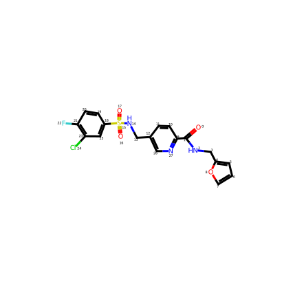 O=C(NCc1ccco1)c1ccc(CNS(=O)(=O)c2ccc(F)c(Cl)c2)cn1